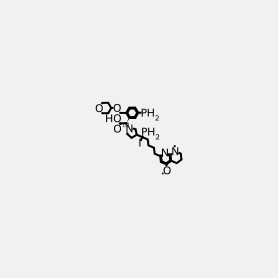 COc1cc(CCCCC(P)(I)C2CCN([C@H](C(=O)O)c3cc(P)ccc3COC3CCOCC3)C2)nc2c1CCCN2C